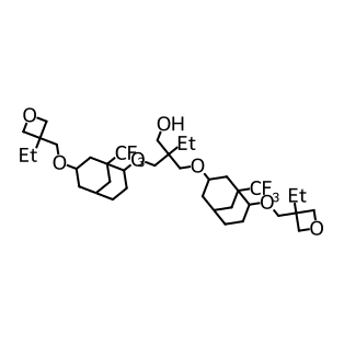 CCC1(COC2CC3CCC(OCC(CC)(CO)COC4CC5CCC(OCC6(CC)COC6)C(C(F)(F)F)(C5)C4)C(C(F)(F)F)(C3)C2)COC1